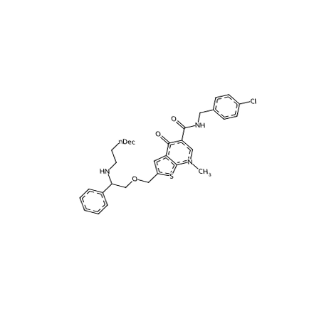 CCCCCCCCCCCCNC(COCc1cc2c(=O)c(C(=O)NCc3ccc(Cl)cc3)cn(C)c2s1)c1ccccc1